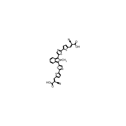 Cn1c(-c2cnc(-c3ccc(/C=C(\C#N)C(=O)O)s3)s2)c2ccccc2c1-c1cnc(-c2ccc(/C=C(\C#N)C(=O)O)s2)s1